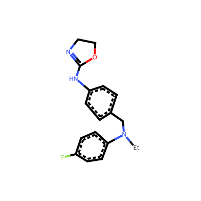 CCN(Cc1ccc(NC2=NCCO2)cc1)c1ccc(F)cc1